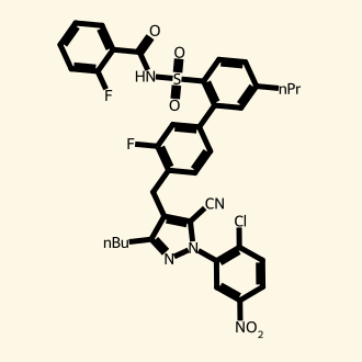 CCCCc1nn(-c2cc([N+](=O)[O-])ccc2Cl)c(C#N)c1Cc1ccc(-c2cc(CCC)ccc2S(=O)(=O)NC(=O)c2ccccc2F)cc1F